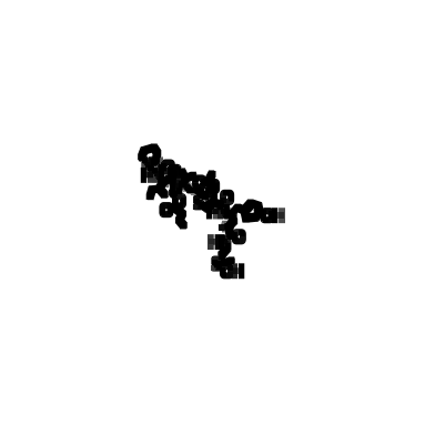 CCCC(=O)OCN(C(=O)[C@@H](NC(=O)[C@H]1CCCCN1C)C(C)CC)[C@H](C[C@@H](OC(C)=O)c1nc(C(=O)N[C@@H](Cc2ccc(O)cc2)C[C@H](C)C(=O)NCC[Si](C)(C)O)cs1)C(C)C